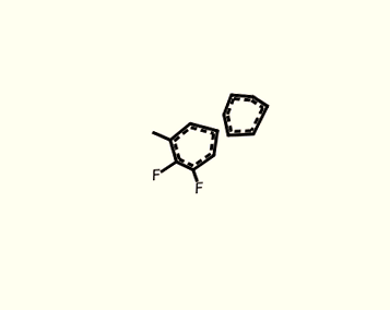 Cc1cccc(F)c1F.c1ccccc1